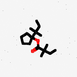 CCC(C)(C)C(=O)OC1(C(C)(C)CC)CCCC1